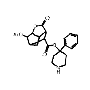 CC(=O)OC1C2CC3C1OC(=O)C3C2C(=O)OC1(c2ccccc2)CCNCC1